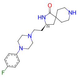 O=C1N[C@H](CCN2CCN(c3ccc(F)cc3)CC2)CC12CCNCC2